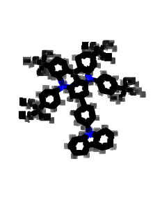 C[Si](C)(C)c1ccc(N2c3cc([Si](C)(C)C)ccc3B3c4ccc([Si](C)(C)C)cc4N(c4ccc([Si](C)(C)C)cc4)c4cc(-c5ccc(-n6c7ccccc7c7ccccc76)cc5)cc2c43)cc1